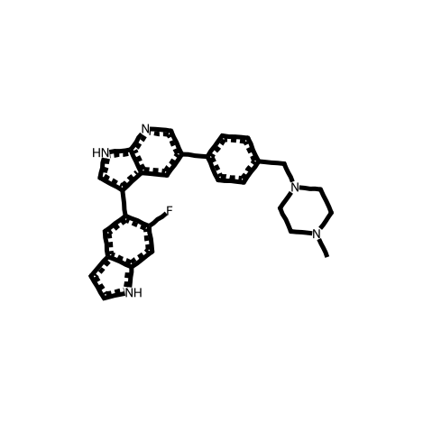 CN1CCN(Cc2ccc(-c3cnc4[nH]cc(-c5cc6cc[nH]c6cc5F)c4c3)cc2)CC1